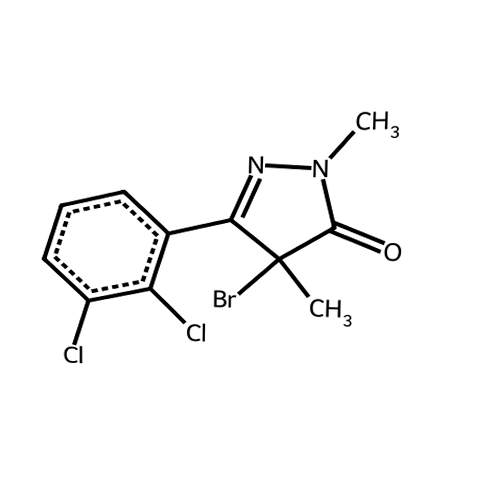 CN1N=C(c2cccc(Cl)c2Cl)C(C)(Br)C1=O